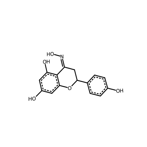 O/N=C1/CC(c2ccc(O)cc2)Oc2cc(O)cc(O)c21